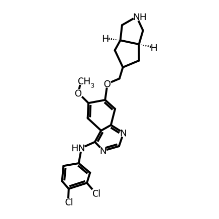 COc1cc2c(Nc3ccc(Cl)c(Cl)c3)ncnc2cc1OCC1C[C@H]2CNC[C@H]2C1